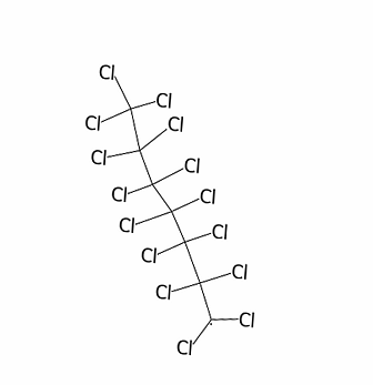 Cl[C](Cl)C(Cl)(Cl)C(Cl)(Cl)C(Cl)(Cl)C(Cl)(Cl)C(Cl)(Cl)C(Cl)(Cl)Cl